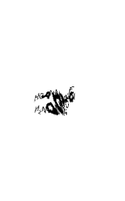 N[C@H]1CC[C@H](Nc2cc(NC3CC(CO)C3)c3ncc(C(=O)Nc4ccncc4F)n3n2)CC1